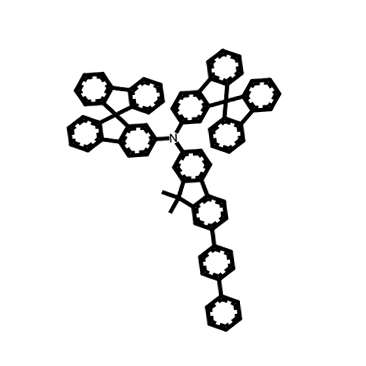 CC1(C)c2cc(-c3ccc(-c4ccccc4)cc3)ccc2-c2ccc(N(c3ccc4c(c3)C3(c5ccccc5-c5ccccc53)c3ccccc3-4)c3ccc4c(c3)C3(c5ccccc5-c5ccccc53)c3ccccc3-4)cc21